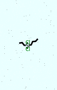 CCCC[Si](Cl)(Cl)CCC